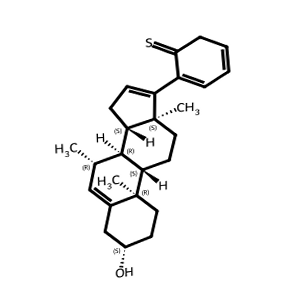 C[C@H]1C=C2C[C@@H](O)CC[C@]2(C)[C@H]2CC[C@]3(C)C(C4=CC=CCC4=S)=CC[C@H]3[C@H]12